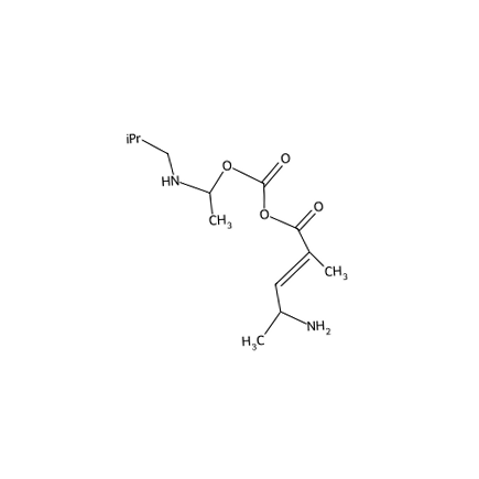 CC(=CC(C)N)C(=O)OC(=O)OC(C)NCC(C)C